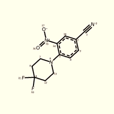 N#Cc1ccc(N2CCC(F)(F)CC2)c([N+](=O)[O-])c1